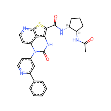 CC(=O)N[C@H]1CCC[C@H]1NC(=O)c1sc2nccc3c2c1NC(=O)N3c1ccnc(-c2ccccc2)c1